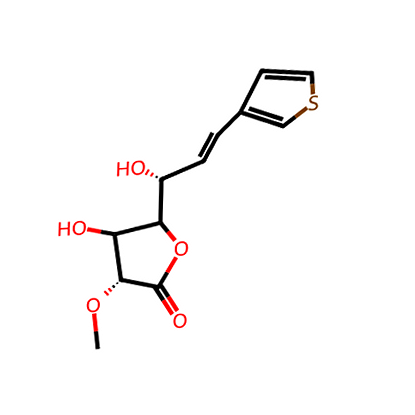 CO[C@H]1C(=O)OC([C@H](O)/C=C/c2ccsc2)C1O